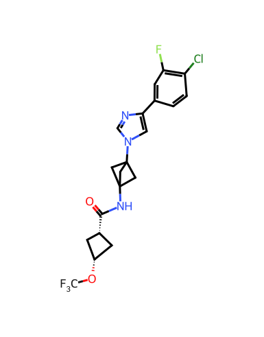 O=C(NC12CC(n3cnc(-c4ccc(Cl)c(F)c4)c3)(C1)C2)[C@H]1C[C@@H](OC(F)(F)F)C1